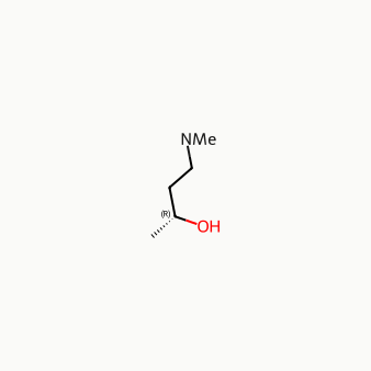 CNCC[C@@H](C)O